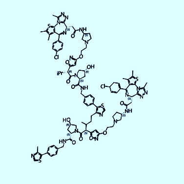 Cc1ncsc1-c1ccc(CNC(=O)[C@@H]2C[C@@H](O)CN2C(=O)[C@H](c2cc(OCCN3CC[C@H](NC(=O)C[C@@H]4N=C(C5=CCC(Cl)C=C5)c5c(sc(C)c5C)-n5c(C)nnc54)C3)no2)C(C)CCc2ncsc2-c2ccc(CNC(=O)[C@@H]3C[C@@H](O)CN3C(=O)[C@@H](c3cc(OCCN4CC[C@H](NC(=O)C[C@@H]5N=C(c6ccc(Cl)cc6)c6c(sc(C)c6C)-n6c(C)nnc65)C4)no3)C(C)C)cc2)cc1